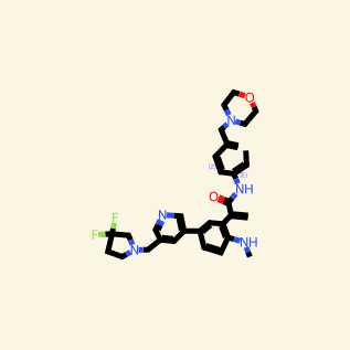 C=C(/C=C\C(=C/C)NC(=O)C(=C)c1cc(-c2cncc(CN3CCC(F)(F)C3)c2)ccc1NC)CN1CCOCC1